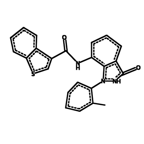 Cc1ccccc1-n1[nH]c(=O)c2cccc(NC(=O)c3csc4ccccc34)c21